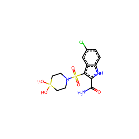 NC(=O)c1[nH]c2ccc(Cl)cc2c1S(=O)(=O)N1CCS(O)(O)CC1